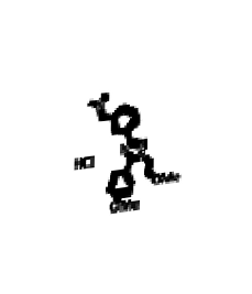 COCCn1nc(-c2cccc(CN(C)C)c2)nc1-c1ccc(OC)cc1.Cl